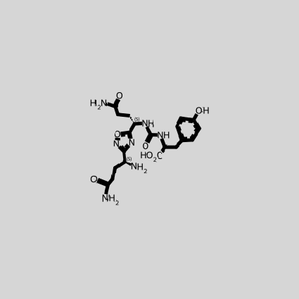 NC(=O)CC[C@H](NC(=O)NC(Cc1ccc(O)cc1)C(=O)O)c1nc([C@@H](N)CCC(N)=O)no1